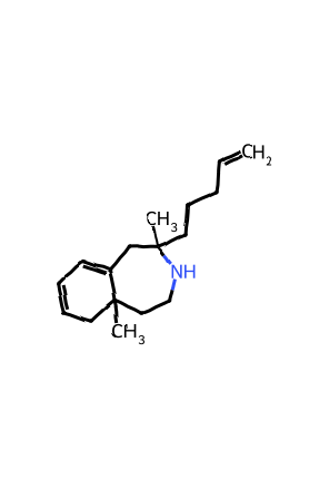 C=CCCCC1(C)CC2=CC=CCC2(C)CCN1